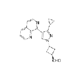 O=C[C@H]1C[C@H](n2cc(-c3nccc4cccnc34)c(C3CC3)n2)C1